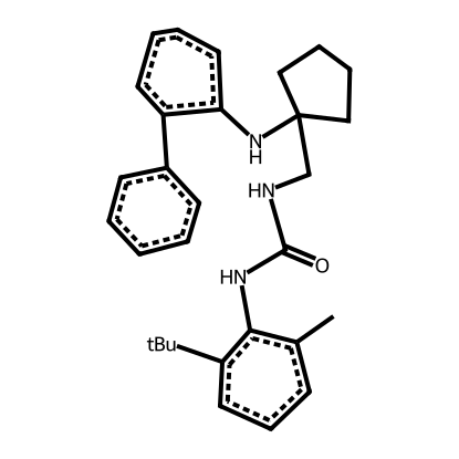 Cc1cccc(C(C)(C)C)c1NC(=O)NCC1(Nc2ccccc2-c2ccccc2)CCCC1